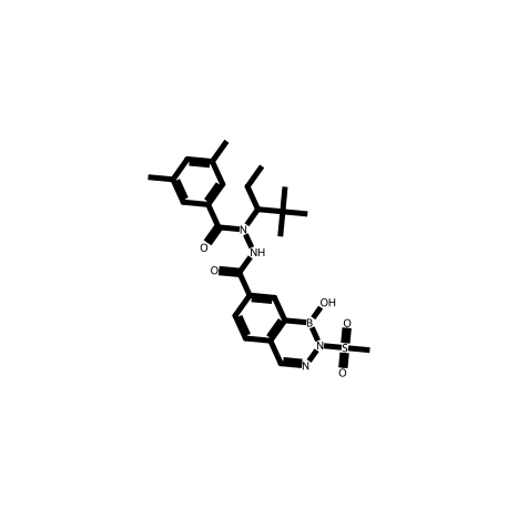 CCC(N(NC(=O)c1ccc2c(c1)B(O)N(S(C)(=O)=O)N=C2)C(=O)c1cc(C)cc(C)c1)C(C)(C)C